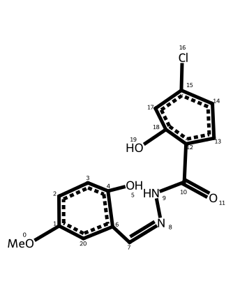 COc1ccc(O)c(/C=N\NC(=O)c2ccc(Cl)cc2O)c1